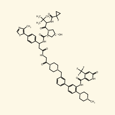 Cc1ncsc1-c1ccc(C(CC(=O)NCC(=O)N2CCN(Cc3cccc(-c4ccc(N5CCN(C)CC5)c(NC(=O)c5c[nH]c(=O)cc5C(F)(F)F)c4)c3)CC2)NC(=O)[C@@H]2C[C@@H](O)CN2C(=O)C(NC(=O)C2(F)CC2)C(C)(C)C)cc1